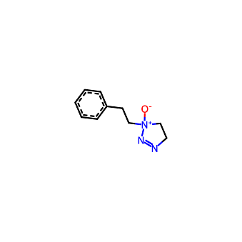 [O-][N+]1(CCc2ccccc2)CCN=N1